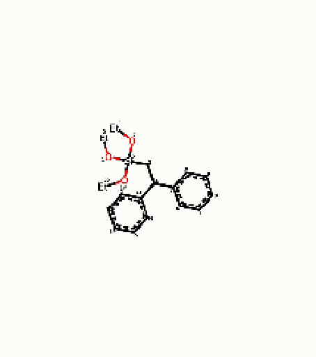 CCO[Si](CC(c1ccccc1)c1ccccc1)(OCC)OCC